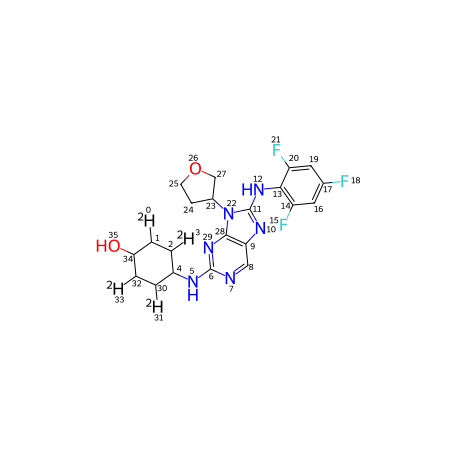 [2H]C1C([2H])C(Nc2ncc3nc(Nc4c(F)cc(F)cc4F)n(C4CCOC4)c3n2)C([2H])C([2H])C1O